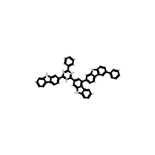 c1ccc(-c2ccc3sc4cc(-c5cc(-c6nc(-c7ccccc7)nc(-c7ccc8c(c7)oc7ccccc78)n6)cc6oc7ccccc7c56)ccc4c3c2)cc1